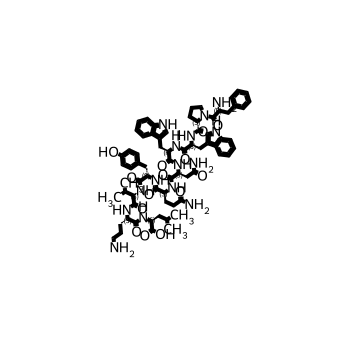 CC(C)C[C@H](NC(=O)[C@H](CCCN)NC(=O)[C@@H](NC(=O)[C@H](Cc1ccc(O)cc1)NC(=O)[C@H](CCC(N)=O)NC(=O)[C@H](CC(N)=O)NC(=O)[C@@H](Cc1c[nH]c2ccccc12)NC(=O)[C@H](Cc1c[nH]c2ccccc12)NC(=O)[C@@H]1CCCN1C(=O)[C@H](N)Cc1ccccc1)C(C)C)C(=O)O